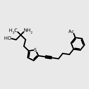 CC(=O)c1cccc(CCCC#Cc2ccc(CCC(C)(N)CO)s2)c1